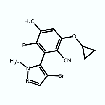 Cc1cc(OC2CC2)c(C#N)c(-c2c(Br)cnn2C)c1F